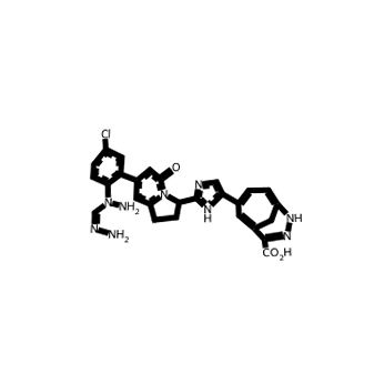 N/N=C\N(N)c1ccc(Cl)cc1-c1cc2n(c(=O)c1)C(c1ncc(C3=CC=C4CC(=C3)C(C(=O)O)=NN4)[nH]1)CC2